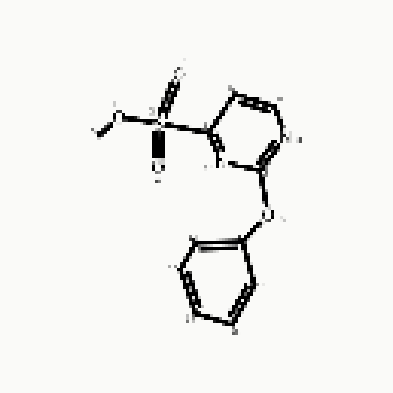 COS(=O)(=O)c1ccnc(Oc2ccccc2)n1